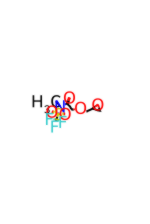 CN(C(=O)COCC1CO1)S(=O)(=O)C(F)(F)F